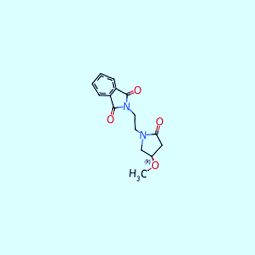 CO[C@@H]1CC(=O)N(CCN2C(=O)c3ccccc3C2=O)C1